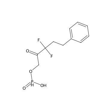 O=C(CO[PH](=O)O)C(F)(F)CCc1ccccc1